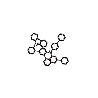 c1ccc(-c2ccc(N(c3cccc(-c4ccccc4)c3)c3ccc(-c4ccccc4-n4c5ccccc5c5ccccc54)cc3-c3cccc4ccccc34)cc2)cc1